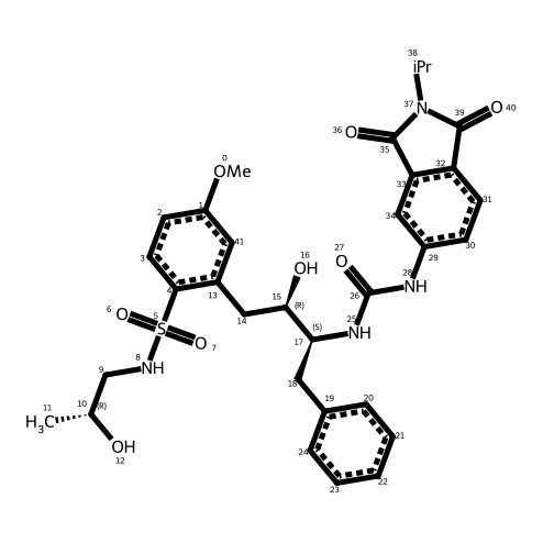 COc1ccc(S(=O)(=O)NC[C@@H](C)O)c(C[C@@H](O)[C@H](Cc2ccccc2)NC(=O)Nc2ccc3c(c2)C(=O)N(C(C)C)C3=O)c1